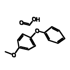 COc1ccc(Oc2ccccc2)cc1.O=CO